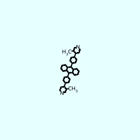 Cc1cnccc1-c1ccc(-c2c3ccccc3c(-c3ccc(-c4ccncc4C)cc3)c3ccccc23)cc1